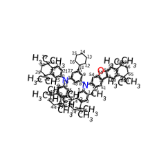 Cc1cc2c(cc1N(c1cc(C3CCCCC3)cc(N(c3ccc4c(c3)C(C)(C)CCC4(C)C)c3ccc4c(c3)C(C)(C)CCC4(C)C)c1)c1ccc3c(c1)oc1cc4c(cc13)C(C)(C)CCC4(C)C)C(C)(C)CCC2(C)C